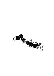 Nc1ccc(S(=O)(=O)NC(=O)c2ccc(N3CCN(Cc4ccccc4-c4ccc(Cl)cc4)CC3)cc2)cc1S(=O)(=O)C(F)(F)F